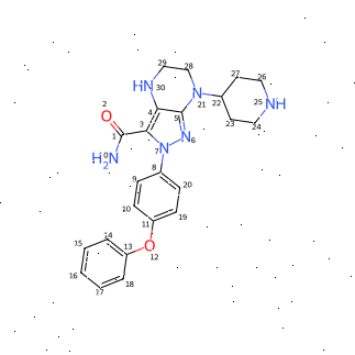 NC(=O)c1c2c(nn1-c1ccc(Oc3ccccc3)cc1)N(C1CCNCC1)CCN2